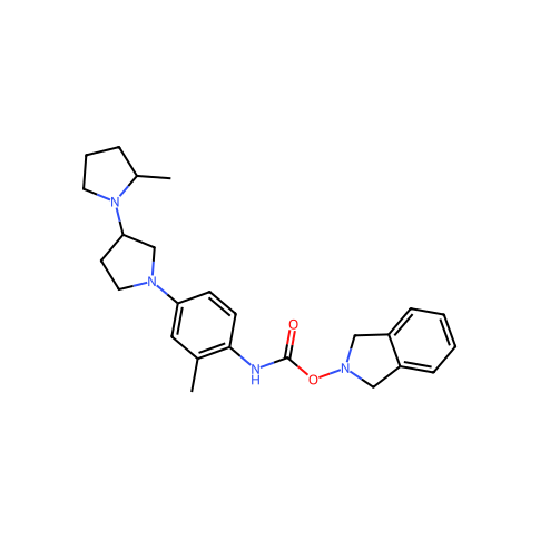 Cc1cc(N2CCC(N3CCCC3C)C2)ccc1NC(=O)ON1Cc2ccccc2C1